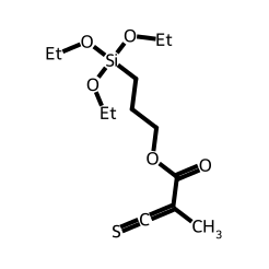 CCO[Si](CCCOC(=O)C(C)=C=S)(OCC)OCC